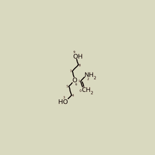 C=CN.OCCOCCO